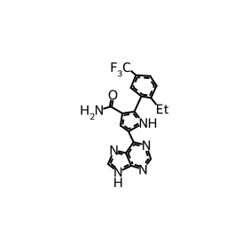 CCc1ccc(C(F)(F)F)cc1-c1[nH]c(-c2ncnc3[nH]cnc23)cc1C(N)=O